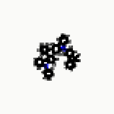 CC1(C)C2=C(CCC=C2)C2=C1C=CC(N1C3CCC=CC3C3CC(c4ccccc4C4CCCC5=C4C4CCC=CC4N5c4ccccc4)CCC31)C2